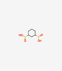 O=S(O)C1CCCC(S(=O)O)C1